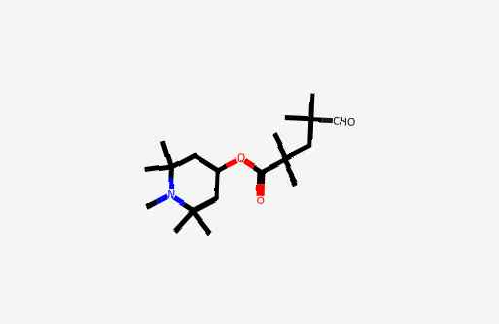 CN1C(C)(C)CC(OC(=O)C(C)(C)CC(C)(C)C=O)CC1(C)C